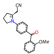 COc1ccccc1C(=O)c1ccc(N2CCC[C@H]2CC#N)cc1